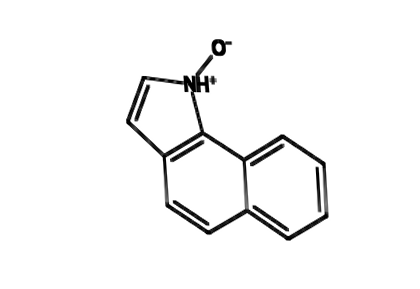 [O-][NH+]1C=Cc2ccc3ccccc3c21